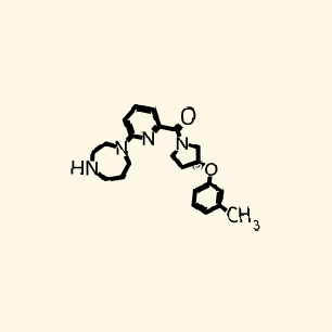 Cc1cccc(O[C@H]2CCN(C(=O)c3cccc(N4CCCNCC4)n3)C2)c1